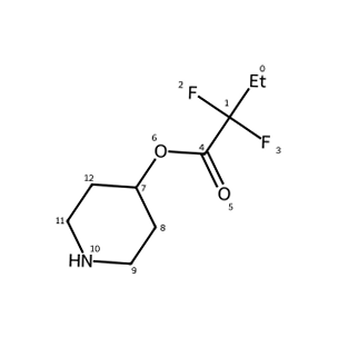 CCC(F)(F)C(=O)OC1CCNCC1